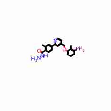 Cc1cc(-c2cc(COc3cccc(P)c3C)ccn2)ccc1C(=O)NN